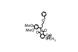 COc1ccc([C@@H](CCCOCc2ccccc2)N2C(=O)c3cccc(OS(C)(=O)=O)c3C2=O)cc1OC